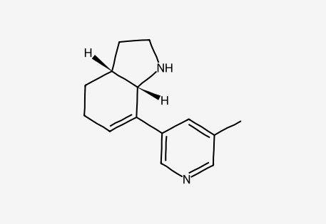 Cc1cncc(C2=CCC[C@@H]3CCN[C@H]23)c1